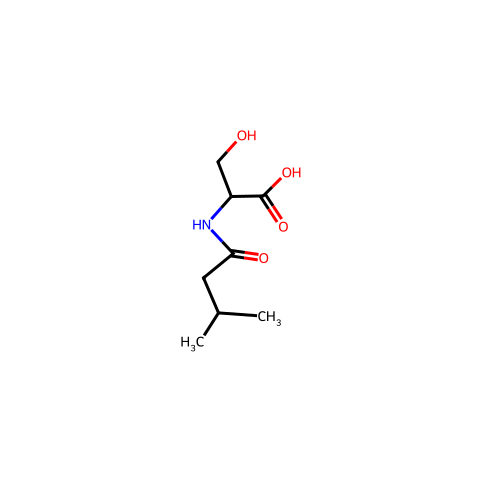 CC(C)CC(=O)NC(CO)C(=O)O